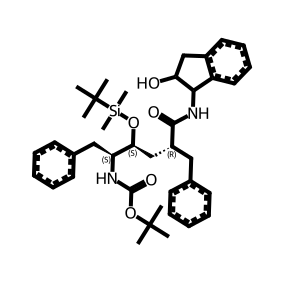 CC(C)(C)OC(=O)N[C@@H](Cc1ccccc1)[C@H](C[C@@H](Cc1ccccc1)C(=O)NC1c2ccccc2CC1O)O[Si](C)(C)C(C)(C)C